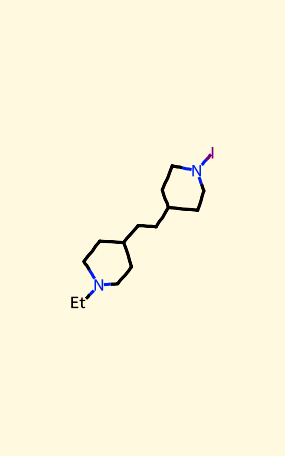 CCN1CCC(CCC2CCN(I)CC2)CC1